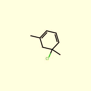 CC1=CC=CC(C)(Cl)[CH]1